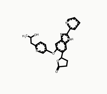 CC(O)Cc1ccc(Oc2cc3nc(-c4ccccn4)[nH]c3cc2C2CCC(=O)O2)cn1